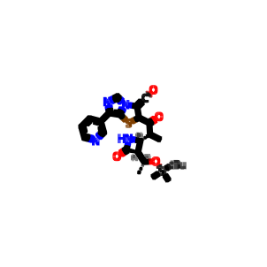 CC(C(=O)C1Sc2c(-c3cccnc3)ncn2C1=C=O)[C@H]1NC(=O)[C@@H]1[C@@H](C)O[Si](C)(C)C(C)(C)C